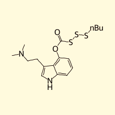 CCCCSSSC(=O)Oc1cccc2[nH]cc(CCN(C)C)c12